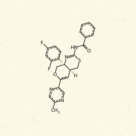 Cc1cnc(C2=C[C@@H]3CSC(NC(=O)c4ccccc4)=N[C@]3(c3ccc(F)cc3F)CO2)cn1